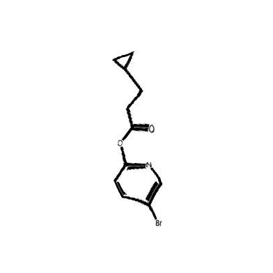 O=C(CCC1CC1)Oc1ccc(Br)cn1